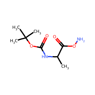 CC(NC(=O)OC(C)(C)C)C(=O)ON